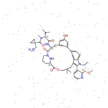 CCn1c(-c2cccnc2[C@H](C)OC)c2c3cc(ccc31)-c1cc(O)cc(c1)C[C@H](NC(=O)[C@H](C(C)C)N(C)C(=O)C1(CN)CC1)C(=O)N1CCC[C@@](C)(N1)C(=O)OCC(C)(C)C2